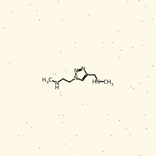 CNCCn1cc(CNC)nn1